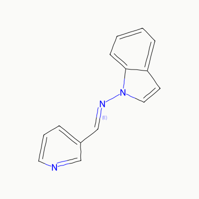 C(=N\n1ccc2ccccc21)/c1cccnc1